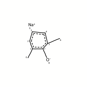 Cc1cccc(C)c1[O-].[Na+]